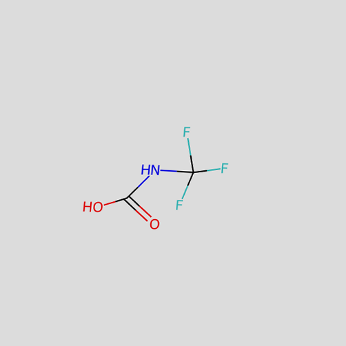 O=C(O)NC(F)(F)F